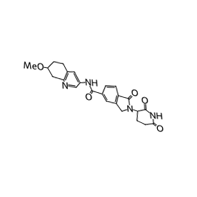 COC1CCc2cc(NC(=O)c3ccc4c(c3)CN(C3CCC(=O)NC3=O)C4=O)cnc2C1